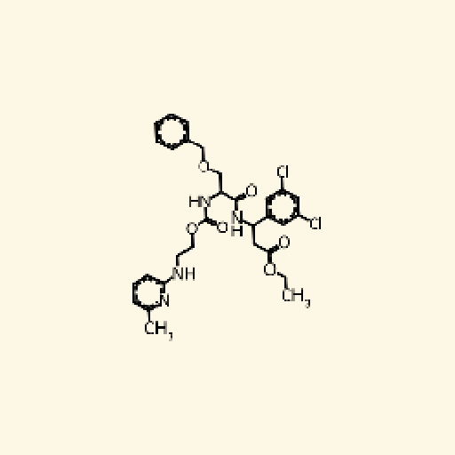 CCOC(=O)CC(NC(=O)C(COCc1ccccc1)NC(=O)OCCNc1cccc(C)n1)c1cc(Cl)cc(Cl)c1